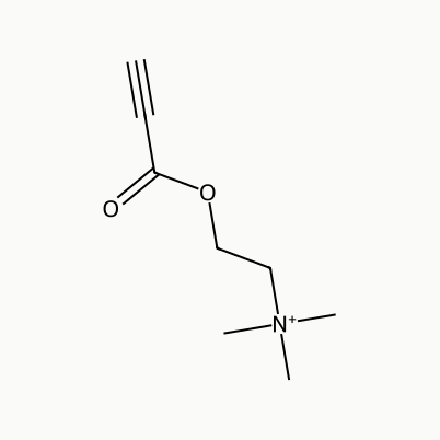 C#CC(=O)OCC[N+](C)(C)C